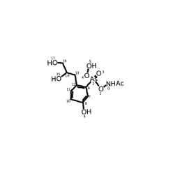 CC(=O)NO[As](=O)(OO)c1cc(O)ccc1CC(O)CO